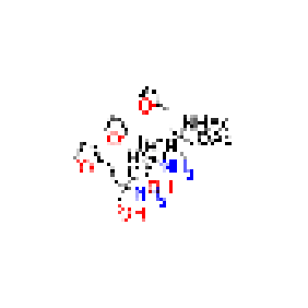 CC(=O)N[C@](C)(CCc1ccco1)COC(C)=O.CC(N)(CO)CCc1ccco1.CC(N)(CO)CCc1ccco1